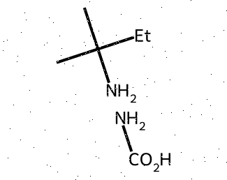 CCC(C)(C)N.NC(=O)O